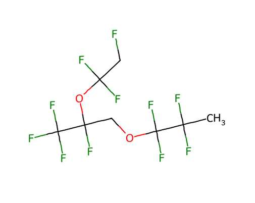 CC(F)(F)C(F)(F)OCC(F)(OC(F)(F)CF)C(F)(F)F